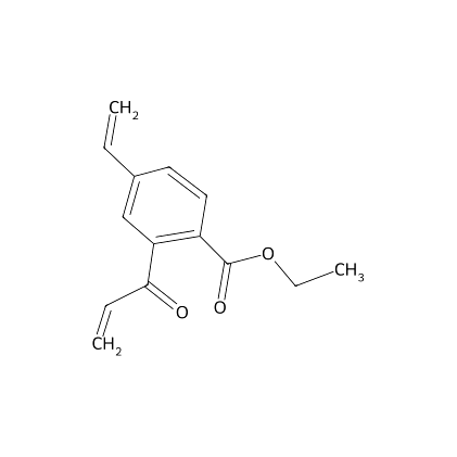 C=CC(=O)c1cc(C=C)ccc1C(=O)OCC